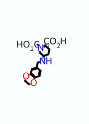 O=C(O)[C@@H]1CC[C@@H](NCc2ccc3c(c2)OCCO3)CN1C(=O)O